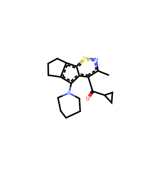 Cc1nsc2c3c(c(N4CCCCC4)c-2c1C(=O)C1CC1)CCC3